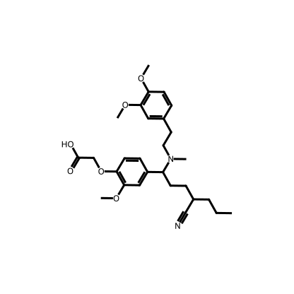 CCCC(C#N)CCC(c1ccc(OCC(=O)O)c(OC)c1)N(C)CCc1ccc(OC)c(OC)c1